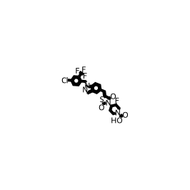 O=C(O)N1CC[C@@H](N2C(=O)SC(=Cc3ccc4c(cnn4Cc4ccc(Cl)cc4C(F)(F)F)c3)C2=O)[C@H](F)C1